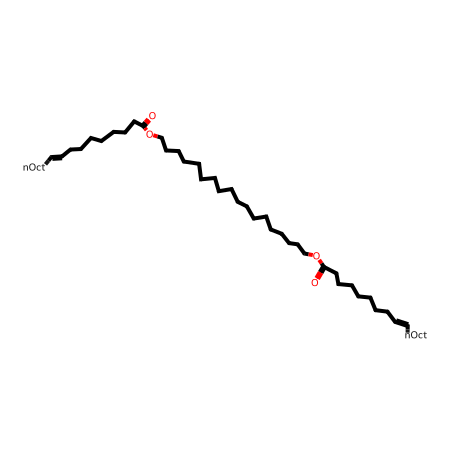 CCCCCCCCC=CCCCCCCCC(=O)OCCCCCCCCCCCCCCCCCCOC(=O)CCCCCCCC=CCCCCCCCC